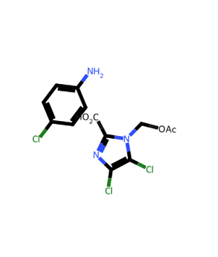 CC(=O)OCn1c(C(=O)O)nc(Cl)c1Cl.Nc1ccc(Cl)cc1